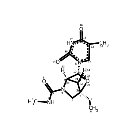 CC[C@@]12CN(C(=O)NC)[C@@H]([C@H](n3cc(C)c(=O)[nH]c3=O)O1)[C@@H]2O